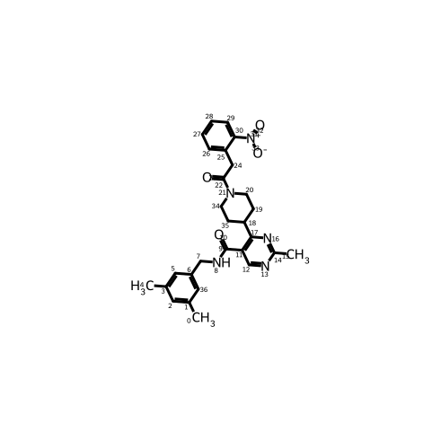 Cc1cc(C)cc(CNC(=O)c2cnc(C)nc2C2CCN(C(=O)Cc3ccccc3[N+](=O)[O-])CC2)c1